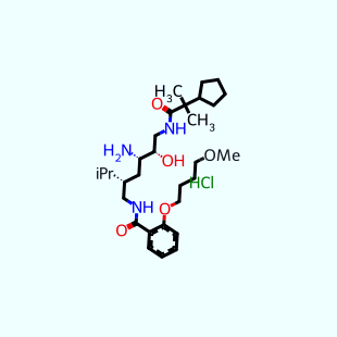 COCCCCOc1ccccc1C(=O)NC[C@@H](C[C@H](N)[C@@H](O)CNC(=O)C(C)(C)C1CCCC1)C(C)C.Cl